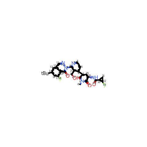 Cn1cc(-c2ccnc(-n3ncc4cc(C(C)(C)C)cc(F)c4c3=O)c2CO)cc(NC(=O)C2CC2F)c1=O